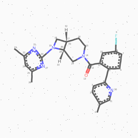 Cc1ccc(-c2ccc(F)cc2C(=O)N2CC[C@H]3CN(c4nc(C)cc(C)n4)[C@H]3C2)nc1